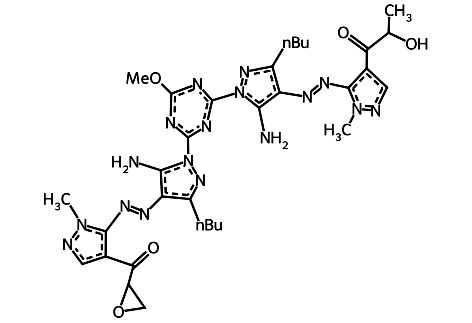 CCCCc1nn(-c2nc(OC)nc(-n3nc(CCCC)c(/N=N/c4c(C(=O)C5CO5)cnn4C)c3N)n2)c(N)c1/N=N/c1c(C(=O)C(C)O)cnn1C